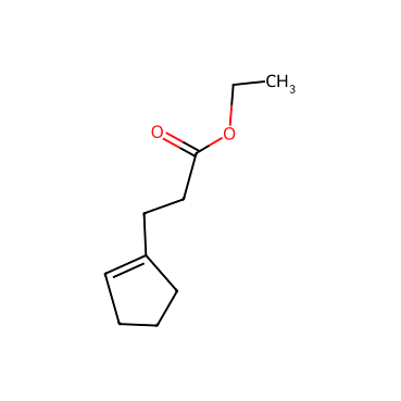 CCOC(=O)CCC1=CCCC1